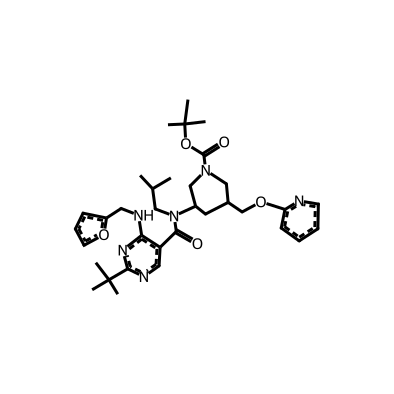 CC(C)CN(C(=O)c1cnc(C(C)(C)C)nc1NCc1ccco1)C1CC(COc2ccccn2)CN(C(=O)OC(C)(C)C)C1